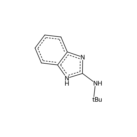 CC(C)(C)Nc1nc2ccccc2[nH]1